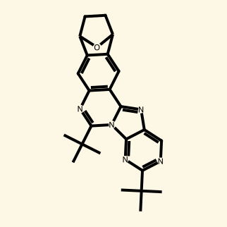 CC(C)(C)c1ncc2nc3c4cc5c(cc4nc(C(C)(C)C)n3c2n1)C1CCC5O1